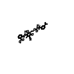 C=C(C)c1cccc(C(C)(C)NC(=O)OCCn2c(O)c(/N=N/c3ccccc3C(=O)OC)c(C)c(C#N)c2=O)c1